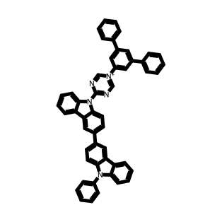 c1ccc(-c2cc(-c3ccccc3)cc(-[n+]3cnc(-n4c5ccccc5c5cc(-c6ccc7c(c6)c6ccccc6n7-c6ccccc6)ccc54)nc3)c2)cc1